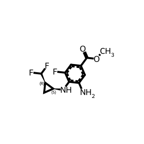 COC(=O)c1cc(N)c(N[C@H]2C[C@H]2C(F)F)c(F)c1